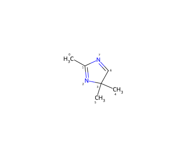 CC1=NC(C)(C)C=N1